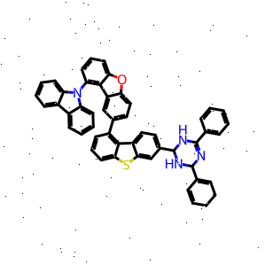 C1=CC(C2N=C(c3ccccc3)NC(c3ccc4c(c3)sc3cccc(-c5ccc6oc7cccc(-n8c9ccccc9c9ccccc98)c7c6c5)c34)N2)=CCC1